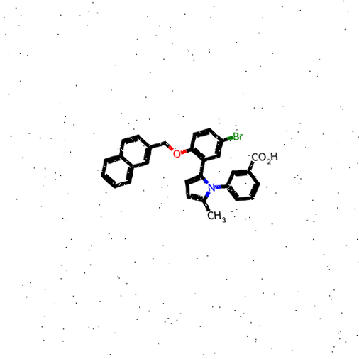 Cc1ccc(-c2cc(Br)ccc2OCc2ccc3ccccc3c2)n1-c1cccc(C(=O)O)c1